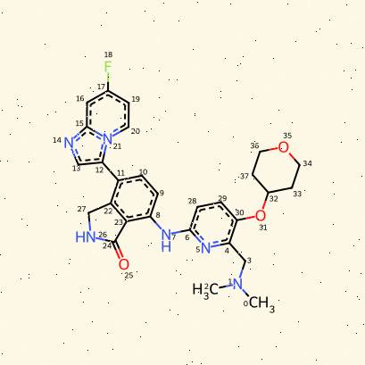 CN(C)Cc1nc(Nc2ccc(-c3cnc4cc(F)ccn34)c3c2C(=O)NC3)ccc1OC1CCOCC1